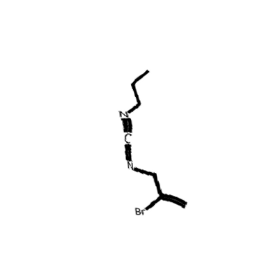 C=C(Br)CN=C=NCCC